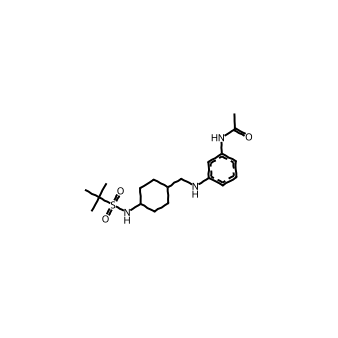 CC(=O)Nc1cccc(NCC2CCC(NS(=O)(=O)C(C)(C)C)CC2)c1